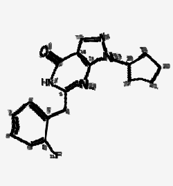 O=c1[nH]c(Cc2ccccc2F)nc2c1cnn2C1CCCC1